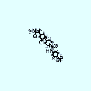 CCNC(=O)C(C)c1cnc(C2=CCN(C(=O)Nc3ccc(C(F)(F)F)cc3)CC2)c(Cl)c1